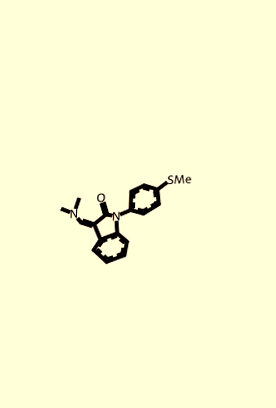 CSc1ccc(N2C(=O)/C(=C\N(C)C)c3ccccc32)cc1